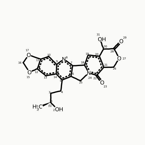 C[C@H](O)CCc1c2c(nc3cc4c(cc13)OCO4)-c1cc3c(c(=O)n1C2)COC(=O)C3O